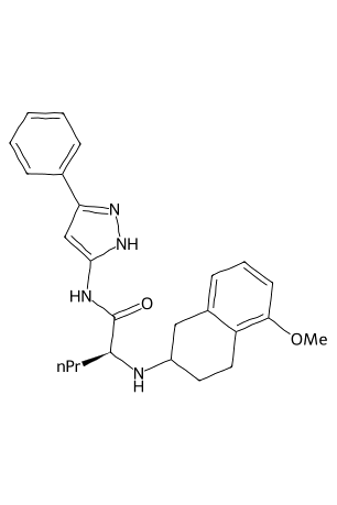 CCC[C@H](NC1CCc2c(cccc2OC)C1)C(=O)Nc1cc(-c2ccccc2)n[nH]1